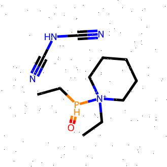 CC[PH](=O)[N+]1(CC)CCCCC1.N#CNC#N